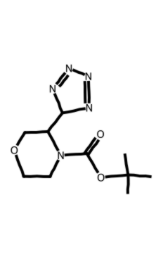 CC(C)(C)OC(=O)N1CCOCC1C1N=NN=N1